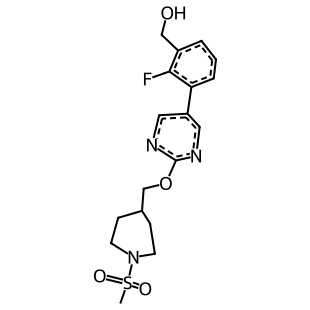 CS(=O)(=O)N1CCC(COc2ncc(-c3cccc(CO)c3F)cn2)CC1